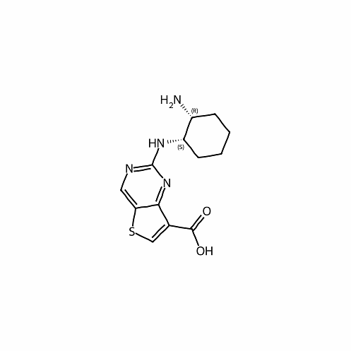 N[C@@H]1CCCC[C@@H]1Nc1ncc2scc(C(=O)O)c2n1